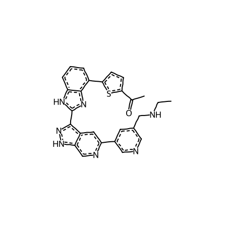 CCNCc1cncc(-c2cc3c(-c4nc5c(-c6ccc(C(C)=O)s6)cccc5[nH]4)n[nH]c3cn2)c1